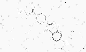 CCc1ccc(NC(=O)C2CCN(C(=O)OC(C)(C)C)CC2)c(I)c1